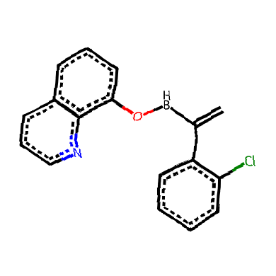 C=C(BOc1cccc2cccnc12)c1ccccc1Cl